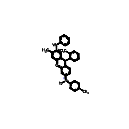 CC/[N+](c1ccc(C)cc1)=c1/ccc2c(-c3ccccc3C(=O)O)c3cc(Nc4ccccc4)c(C)cc3oc-2c1